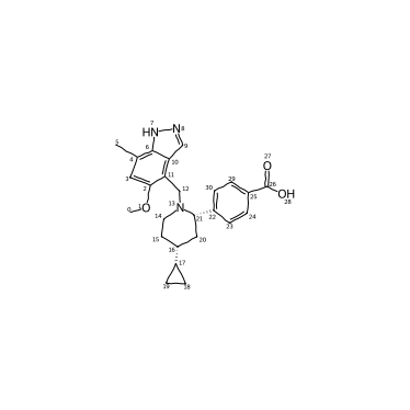 COc1cc(C)c2[nH]ncc2c1CN1CC[C@@H](C2CC2)C[C@H]1c1ccc(C(=O)O)cc1